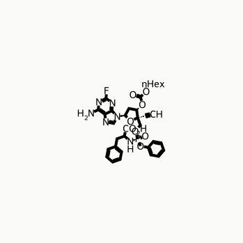 C#C[C@]1(CO[P@@](=O)(NC(Cc2ccccc2)C(=O)O)Oc2ccccc2)O[C@@H](n2cnc3c(N)nc(F)nc32)C[C@@H]1OC(=O)OCCCCCC